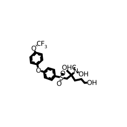 CC(CCCO)(CS(=O)(=O)c1ccc(Oc2ccc(OC(F)(F)F)cc2)cc1)N(O)C=O